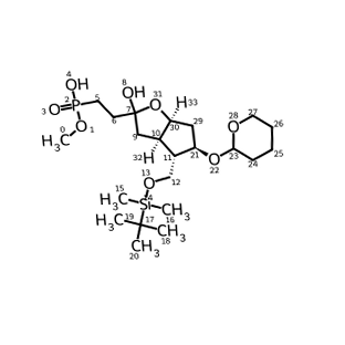 COP(=O)(O)CCC1(O)C[C@@H]2[C@@H](CO[Si](C)(C)C(C)(C)C)[C@H](OC3CCCCO3)C[C@@H]2O1